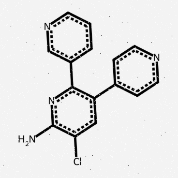 Nc1nc(-c2cccnc2)c(-c2ccncc2)cc1Cl